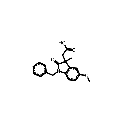 COc1ccc2c(c1)C(C)(CC(=O)O)C(=O)N2Cc1ccccc1